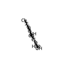 O=C(O)NCCOCCOCCOC(=O)NCCOCCOCCCCCCCl